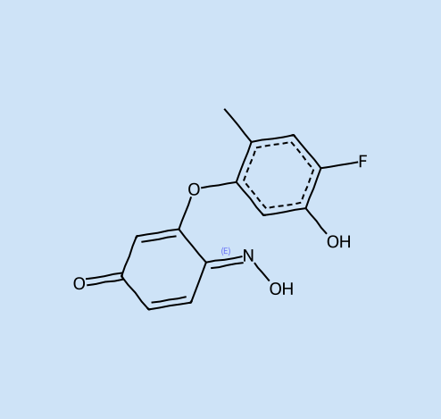 Cc1cc(F)c(O)cc1OC1=CC(=O)C=C/C1=N\O